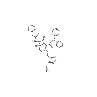 C#CCn1nnnc1SCC1=C(C(=O)OC(c2ccccc2)c2ccccc2)N2C(=O)C(NC(=O)Cc3ccccc3)[C@H]2SC1